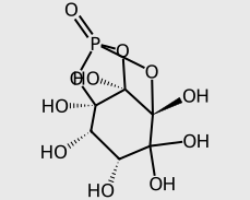 O=P12O[C@]3(O)[C@](O)(O1)[C@@H](O)[C@@H](O)C(O)(O)[C@@]3(O)O2